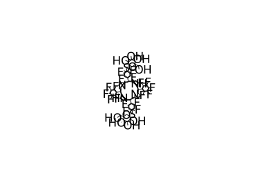 OC[C@H]1O[C@H](Sc2c(F)c(F)c(-c3c4nc(c(-c5c(F)c(F)c(F)c(F)c5F)c5ccc([nH]5)c(-c5c(F)c(F)c(S[C@H]6O[C@H](CO)[C@@H](O)C(O)C6O)c(F)c5F)c5nc(c(-c6c(F)c(F)c(F)c(F)c6F)c6ccc3[nH]6)C=C5)C=C4)c(F)c2F)C(O)[C@@H](O)[C@@H]1O